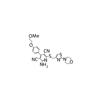 COCCOc1ccc(-c2c(C#N)c(N)nc(SCc3csc(N4CCOCC4)n3)c2C#N)cc1